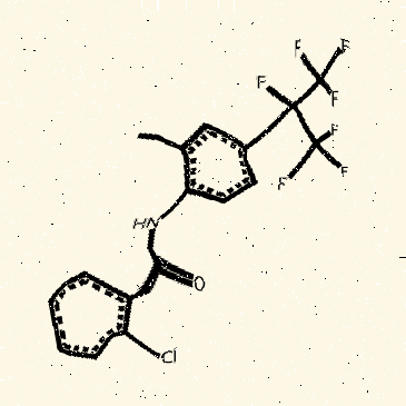 Cc1cc(C(F)(C(F)(F)F)C(F)(F)F)ccc1NC(=O)c1ccccc1Cl